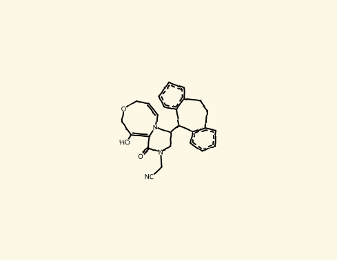 N#CCN1CC(C2c3ccccc3CCc3ccccc32)N2/C=C\COC/C(O)=C\2C1=O